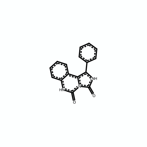 O=c1[nH]c(-c2ccccc2)c2c3ccccc3[nH]c(=O)n12